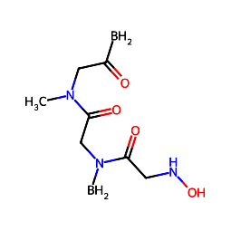 BC(=O)CN(C)C(=O)CN(B)C(=O)CNO